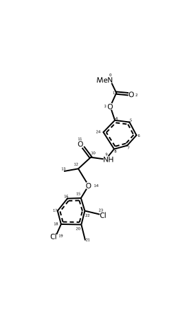 CNC(=O)Oc1cccc(NC(=O)C(C)Oc2ccc(Cl)c(C)c2Cl)c1